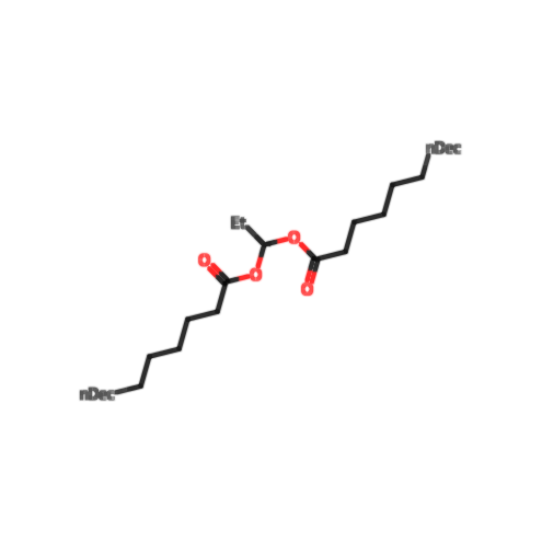 CCCCCCCCCCCCCCCC(=O)O[C](CC)OC(=O)CCCCCCCCCCCCCCC